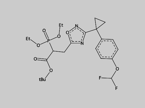 CCOP(=O)(OCC)C(Cc1nc(C2(c3ccc(OC(F)F)cc3)CC2)no1)C(=O)OC(C)(C)C